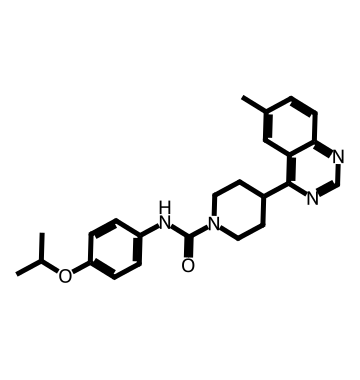 Cc1ccc2ncnc(C3CCN(C(=O)Nc4ccc(OC(C)C)cc4)CC3)c2c1